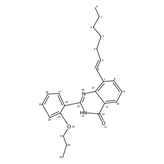 CCCCCC=Cc1cccc2c(=O)[nH]c(-c3ccccc3OCCC)nc12